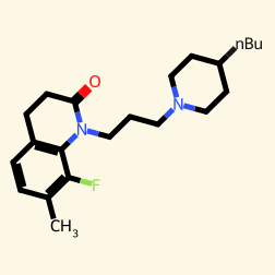 CCCCC1CCN(CCCN2C(=O)CCc3ccc(C)c(F)c32)CC1